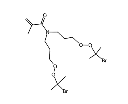 C=C(C)C(=O)N(CCCOOC(C)(C)Br)CCCOOC(C)(C)Br